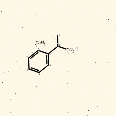 CC(C(=O)O)c1ccccc1.[CaH2]